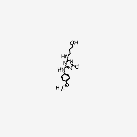 COc1ccc(Nc2nc(Cl)nc(NCCCO)n2)cc1